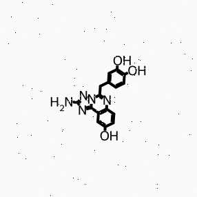 Nc1nc2c3cc(O)ccc3nc(Cc3ccc(O)c(O)c3)n2n1